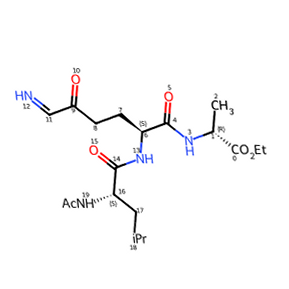 CCOC(=O)[C@@H](C)NC(=O)[C@H](CCC(=O)C=N)NC(=O)[C@H](CC(C)C)NC(C)=O